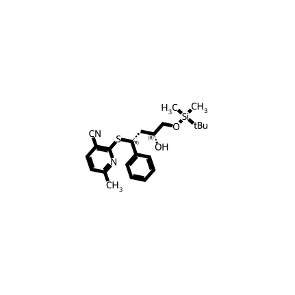 Cc1ccc(C#N)c(S[C@H](C[C@@H](O)CO[Si](C)(C)C(C)(C)C)c2ccccc2)n1